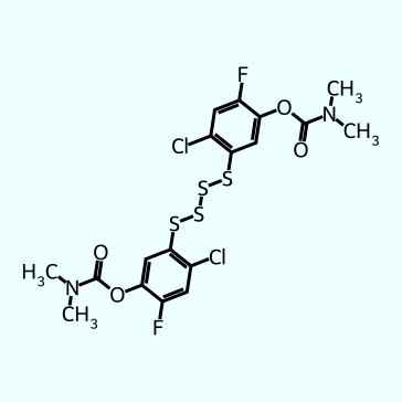 CN(C)C(=O)Oc1cc(SSSSc2cc(OC(=O)N(C)C)c(F)cc2Cl)c(Cl)cc1F